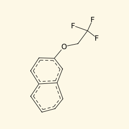 FC(F)(F)COc1ccc2ccccc2c1